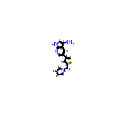 Nc1c[nH]c2ncc(-c3csc(CN4CCCC4)c3)cc12